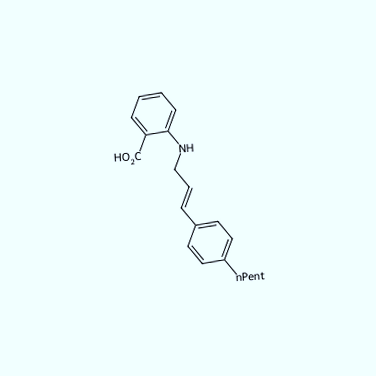 CCCCCc1ccc(C=CCNc2ccccc2C(=O)O)cc1